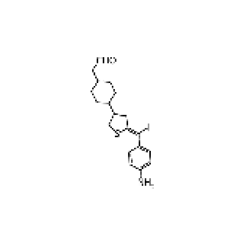 Nc1ccc(/C(I)=C2/CC(C3CCC(CC=O)CC3)CS2)cc1